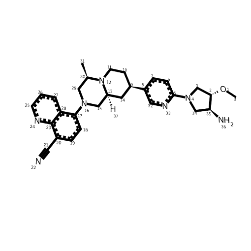 CO[C@H]1CN(c2ccc([C@@H]3CCN4[C@@H](C3)CN(c3ccc(C#N)c5ncccc35)C[C@H]4C)cn2)C[C@@H]1N